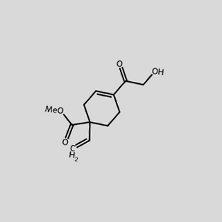 C=CC1(C(=O)OC)CC=C(C(=O)CO)CC1